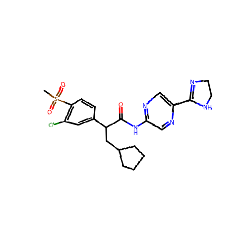 CS(=O)(=O)c1ccc(C(CC2CCCC2)C(=O)Nc2cnc(C3=NCCN3)cn2)cc1Cl